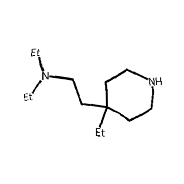 CCN(CC)CCC1(CC)CCNCC1